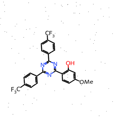 COc1ccc(-c2nc(-c3ccc(C(F)(F)F)cc3)nc(-c3ccc(C(F)(F)F)cc3)n2)c(O)c1